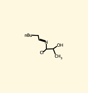 CCCCCC=NC(Cl)C(C)O